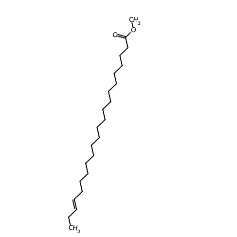 CCC=CCCCCCCCCCCCCCCCCCC(=O)OC